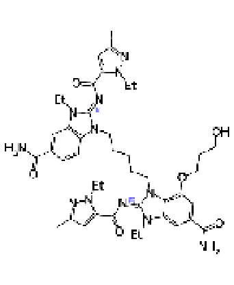 CCn1nc(C)cc1C(=O)/N=c1\n(CC)c2cc(C(N)=O)ccc2n1CCCCCn1/c(=N/C(=O)c2cc(C)nn2CC)n(CC)c2cc(C(N)=O)cc(OCCCO)c21